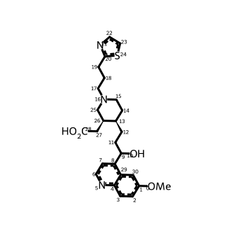 COc1ccc2nccc(C(O)CC[C@@H]3CCN(CCCc4nccs4)C[C@@H]3CC(=O)O)c2c1